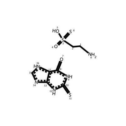 NCCS(=O)(O)=S.O=c1[nH]c(=S)[nH]c2nc[nH]c12